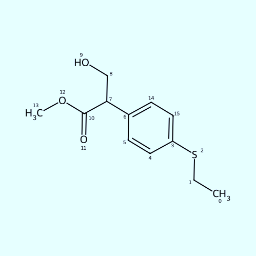 CCSc1ccc(C(CO)C(=O)OC)cc1